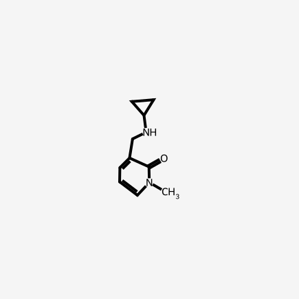 Cn1cccc(CNC2CC2)c1=O